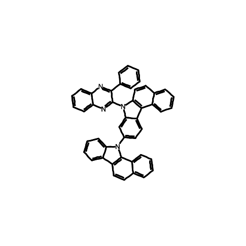 c1ccc(-c2nc3ccccc3nc2-n2c3cc(-n4c5ccccc5c5ccc6ccccc6c54)ccc3c3c4ccccc4ccc32)cc1